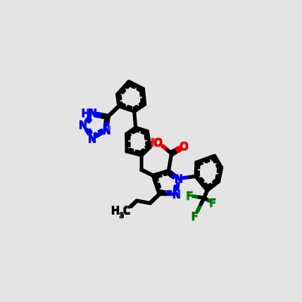 CCCc1nn(-c2ccccc2C(F)(F)F)c(C(=O)O)c1Cc1ccc(-c2ccccc2-c2nnn[nH]2)cc1